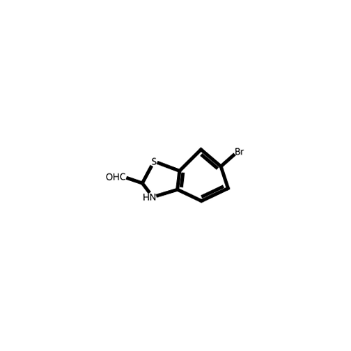 O=CC1Nc2ccc(Br)cc2S1